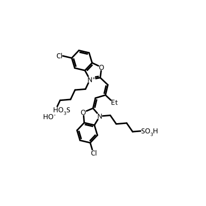 CCC(=Cc1oc2ccc(Cl)cc2[n+]1CCCCS(=O)(=O)O)C=C1Oc2ccc(Cl)cc2N1CCCCS(=O)(=O)O.[OH-]